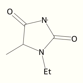 CCN1C(=O)[N]C(=O)C1C